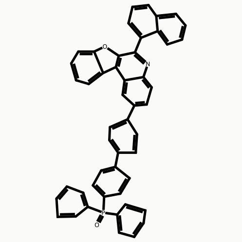 O=P(c1ccccc1)(c1ccccc1)c1ccc(-c2ccc(-c3ccc4nc(-c5cccc6ccccc56)c5oc6ccccc6c5c4c3)cc2)cc1